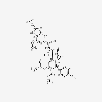 CCOc1c(CC(N)=O)cc([C@@](O)(CNC(=O)c2cc(OC)n3nc(C4CC4)cc3c2)C2(F)CC2)nc1-c1ccc(F)cc1